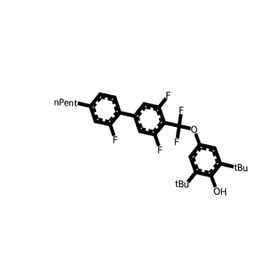 CCCCCc1ccc(-c2cc(F)c(C(F)(F)Oc3cc(C(C)(C)C)c(O)c(C(C)(C)C)c3)c(F)c2)c(F)c1